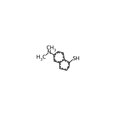 CN(C)c1ccc2c(S)cccc2c1